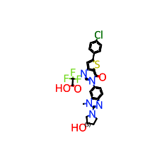 Cn1c(N2CC[C@H](O)C2)nc2ccc(-n3cnc4cc(-c5ccc(Cl)cc5)sc4c3=O)cc21.O=C(O)C(F)(F)F